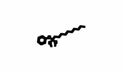 CCCCCCCCCC[Si](OC)(OC)Oc1ccccc1